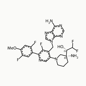 COc1cc(F)c(-c2ncc(N3CCC[C@](N)([C@H](O)C(F)F)C3)c(Cn3cnc4c(N)ncnc43)c2F)cc1F